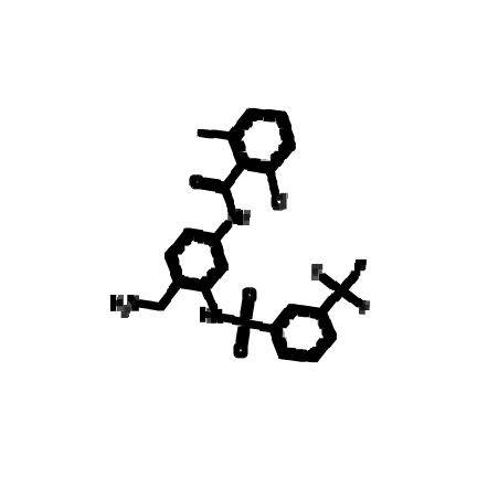 Cc1cccc(Cl)c1C(=O)Nc1ccc(CN)c(NS(=O)(=O)c2cccc(C(F)(F)F)c2)c1